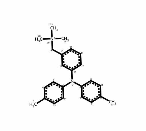 Cc1ccc(N(c2ccc(C)cc2)c2cccc(C[N+](C)(C)C)c2)cc1